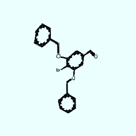 O=Cc1cc(OCc2ccccc2)c(Br)c(OCc2ccccc2)c1